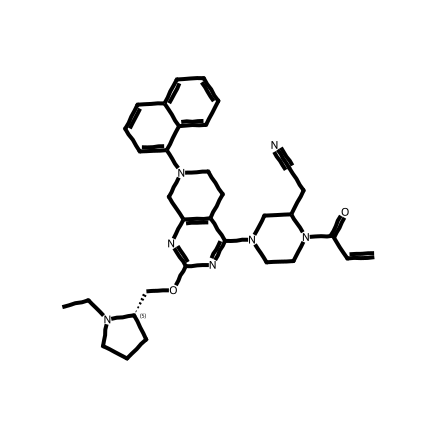 C=CC(=O)N1CCN(c2nc(OC[C@@H]3CCCN3CC)nc3c2CCN(c2cccc4ccccc24)C3)CC1CC#N